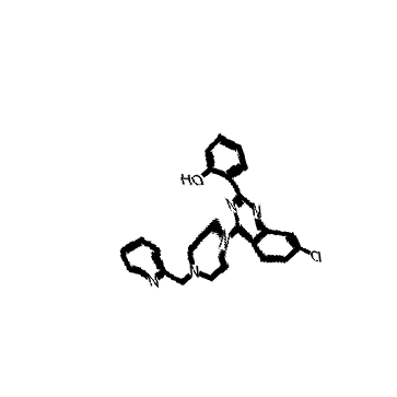 Oc1ccccc1-c1nc(N2CCN(Cc3ccccn3)CC2)c2ccc(Cl)cc2n1